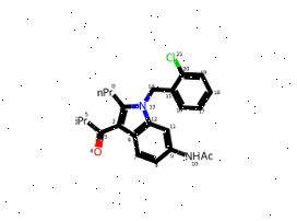 CCCc1c(C(=O)C(C)C)c2ccc(NC(C)=O)cc2n1Cc1ccccc1Cl